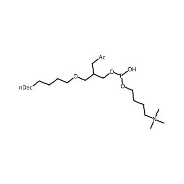 CCCCCCCCCCCCCCOCC(COP(O)OCCCC[N+](C)(C)C)CC(C)=O